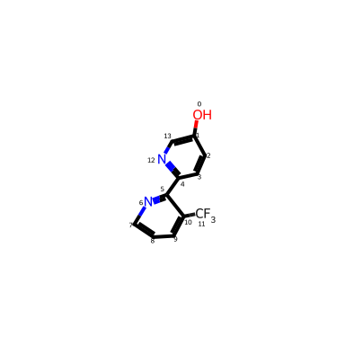 Oc1ccc(-c2ncccc2C(F)(F)F)nc1